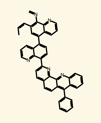 C=Nc1c(/C=C\C)cc(-c2ccc(-c3ccc4ccc5c(-c6ccccc6)c6ccccc6nc5c4n3)c3ncccc23)c2cccnc12